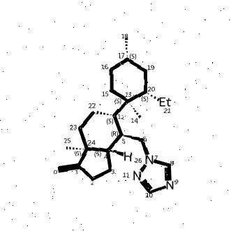 C=C1CC[C@H]2[C@H](Cn3cncn3)[C@@H]([C@@]3(C)CC[C@H](C)C[C@@H]3CC)CC[C@]12C